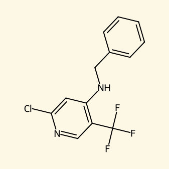 FC(F)(F)c1cnc(Cl)cc1NCc1ccccc1